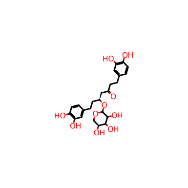 O=C(CCc1ccc(O)c(O)c1)C[C@H](CCc1ccc(O)c(O)c1)OC1OCC(O)C(O)C1O